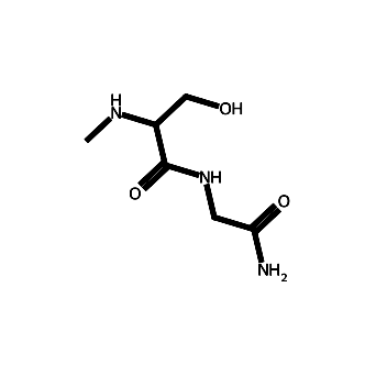 CNC(CO)C(=O)NCC(N)=O